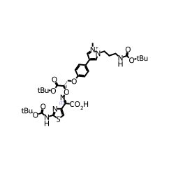 C[n+]1cc(-c2ccc(OC[C@H](O/N=C(\C(=O)O)c3csc(NC(=O)OC(C)(C)C)n3)C(=O)OC(C)(C)C)cc2)cn1CCCNC(=O)OC(C)(C)C